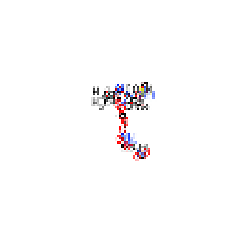 COCCN(CCOC12CC3(C)CC(C)(CC(Cn4ncc(-c5ccc(-c6ccc7cccc(C(=O)Nc8nc9ccccc9s8)c7c6)nc5C(=O)O)c4C)(C3)C1)C2)C(=O)OCc1[c]cc(OCCOCCNC(=O)[C@H](CS(=O)(=O)O)NC(=O)CCCCCN2C(=O)C=CC2=O)cc1